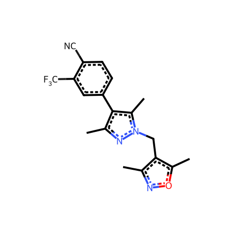 Cc1noc(C)c1Cn1nc(C)c(-c2ccc(C#N)c(C(F)(F)F)c2)c1C